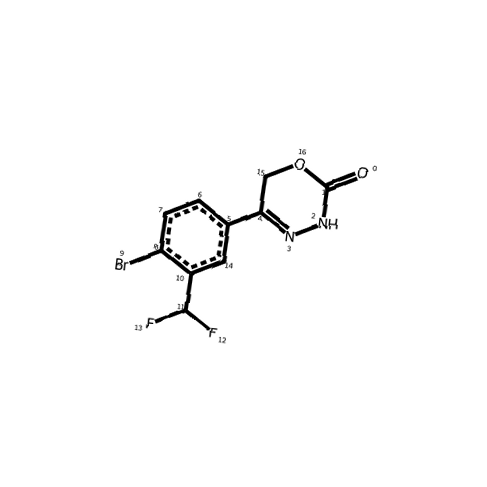 O=C1NN=C(c2ccc(Br)c(C(F)F)c2)CO1